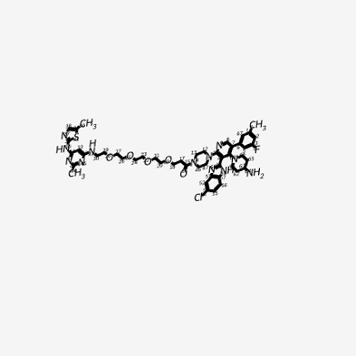 Cc1cc(F)cc(-c2cnc(N3CCN(C(=O)CCOCCOCCOCCOCCNc4cc(Nc5ncc(C)s5)nc(C)n4)CC3)c(-c3nc4cc(Cl)ccc4[nH]3)c2N2CCC(N)CC2)c1